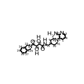 Nc1ncccc1N1CCC(CNC(=O)[C@H](O)C(O)C(=O)N2Cc3ccccc3C2)CC1